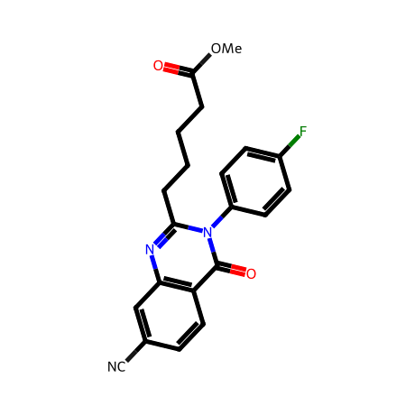 COC(=O)CCCCc1nc2cc(C#N)ccc2c(=O)n1-c1ccc(F)cc1